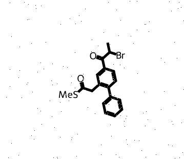 CSC(=O)Cc1cc(C(=O)C(C)Br)ccc1-c1ccccc1